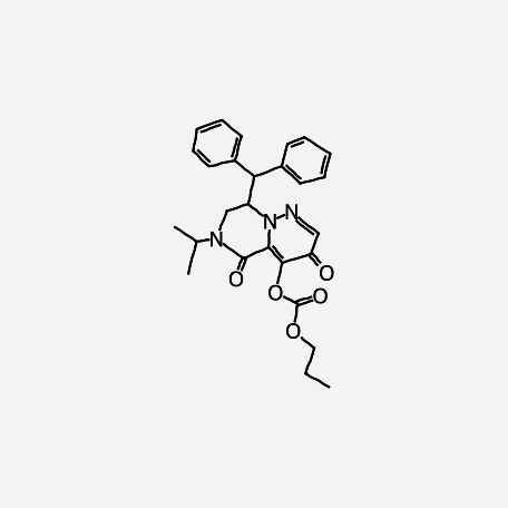 CCCOC(=O)Oc1c2n(ncc1=O)C(C(c1ccccc1)c1ccccc1)CN(C(C)C)C2=O